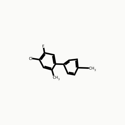 Cc1ccc(-c2cc(F)c(Cl)cc2C)cc1